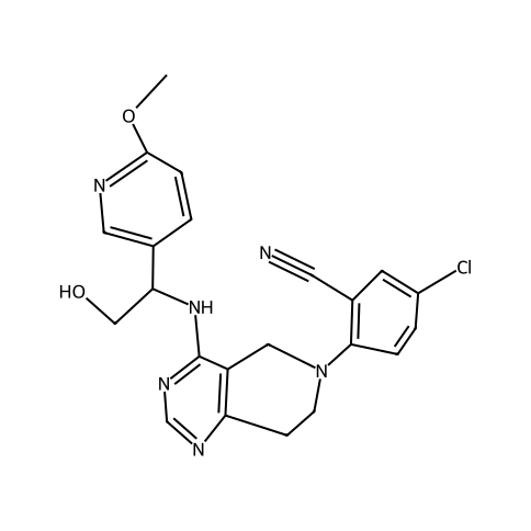 COc1ccc(C(CO)Nc2ncnc3c2CN(c2ccc(Cl)cc2C#N)CC3)cn1